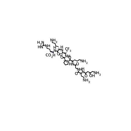 N=C(N)NCC/C=C(\NC(=O)[C@H](CCCCN)NC(=O)[C@H](CC(F)(F)F)NC(=O)[C@@H]1CCCN1C(=O)[C@@H](CCCN)NC(=O)CNC(=O)[C@H](CCN)NC(=O)C[C@@H](O)CN)C(=O)O